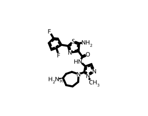 Cn1ncc(NC(=O)c2nc(-c3cc(F)ccc3F)sc2N)c1N1CCC[C@@H](N)CC1